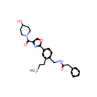 O=C(O)CCc1cc(-c2nc(C(=O)N3CCC(O)CC3)co2)ccc1CNC(=O)Cc1ccccc1